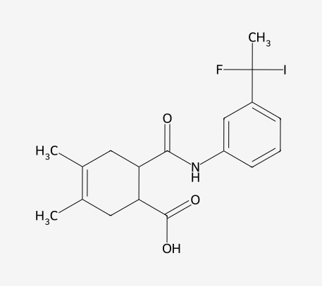 CC1=C(C)CC(C(=O)Nc2cccc(C(C)(F)I)c2)C(C(=O)O)C1